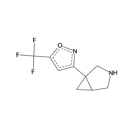 FC(F)(F)c1cc(C23CNCC2C3)no1